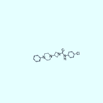 O=C(Nc1ccc(Cl)cc1)N1CC(N2CCN(c3ccccc3)CC2)C1